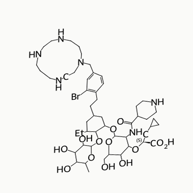 CCC1CC(CCc2ccc(CN3CCCNCCNCCCNCC3)cc2Br)CC(OC2OC(CO)C(O)C(O[C@@H](CC3CC3)C(=O)O)C2NC(=O)C2CCNCC2)C1OC1OC(C)C(O)C(O)C1O